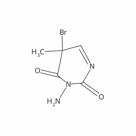 CC1(Br)C=NC(=O)N(N)C1=O